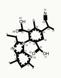 CCc1nc2c(C)cc(C)nc2n1-c1c(C(=O)O)cc(C(C)C#N)c(C)c1C(=O)O